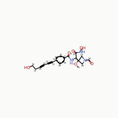 COC1(C(NC(=O)c2ccc(C#CC#CCCO)cc2)C(=O)NO)CN(C=O)C1